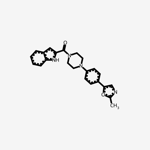 Cc1ncc(-c2ccc(N3CCN(C(=O)c4cc5ccccc5[nH]4)CC3)cc2)o1